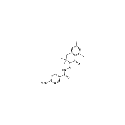 COc1ccc(C(=O)NN=C2C(=O)c3c(C)cc(C)cc3CC2(C)C)cc1